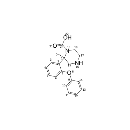 CC1(c2ccccc2Oc2ccccc2)CNCCN1C(=O)O